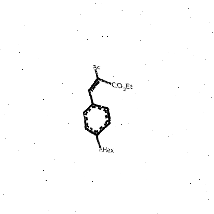 CCCCCCc1ccc(C=C(C(C)=O)C(=O)OCC)cc1